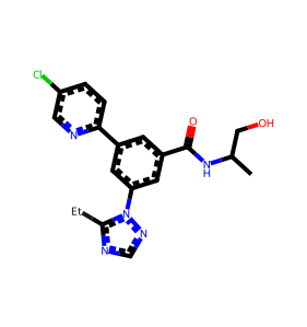 CCc1ncnn1-c1cc(C(=O)NC(C)CO)cc(-c2ccc(Cl)cn2)c1